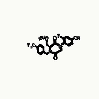 CC(C)(C)OC[C@H]1C(=O)N(c2ccc(C#N)cc2F)CC(=O)N1Cc1ccc(C(F)(F)F)cc1